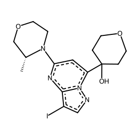 C[C@@H]1COCCN1c1cc(C2(O)CCOCC2)n2ncc(I)c2n1